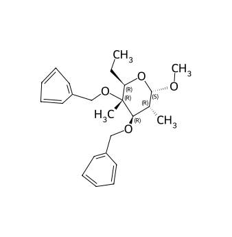 CC[C@H]1O[C@H](OC)[C@H](C)[C@@H](OCc2ccccc2)[C@]1(C)OCc1ccccc1